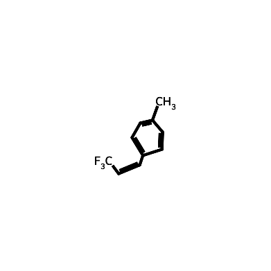 Cc1ccc(/C=C\C(F)(F)F)cc1